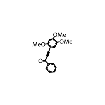 COc1cc(OC)c(OC)cc1C#CC(=O)c1ccccc1